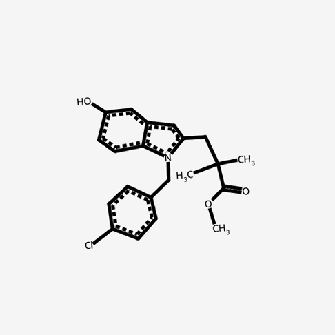 COC(=O)C(C)(C)Cc1cc2cc(O)ccc2n1Cc1ccc(Cl)cc1